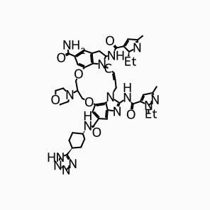 CC[C@@H]1N=C(C)C=C1C(=O)NC1Cc2cc(C(N)=O)cc3c2N1C/C=C/Cn1c(NC(=O)c2cc(C)nn2CC)nc2cc(C(=O)N[C@H]4CC[C@H](c5nnn[nH]5)CC4)cc(c21)OCC(N1CCOCC1)CO3